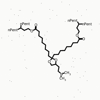 CCCCCC(CCCCC)CCOC(=O)CCCCCCCCC1(CCCCCCCCC(=O)OCCC(CCCCC)CCCCC)OCC(CCN(C)C)O1